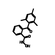 Cc1cc(C)c(C(=O)c2ccccc2C(=O)NO)c(C)c1